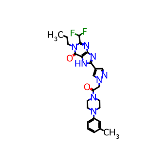 CCCn1c(C(F)F)nc2nc(-c3cnn(CC(=O)N4CCN(c5cccc(C)c5)CC4)c3)[nH]c2c1=O